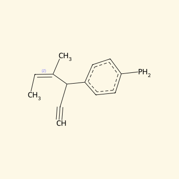 C#CC(/C(C)=C\C)c1ccc(P)cc1